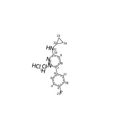 Cl.Cl.Fc1ccc(-c2ccc(NC3CC3)nn2)cc1